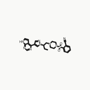 CCC(CN1CCN(S(=O)(=O)c2ccccc2C#N)CC1)n1cc(-c2ncnc3[nH]ccc23)cn1